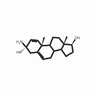 C[C@]12C=C[C@]([NH])(N)CC1=CCC1C2CC[C@@]2(C)C1CC[C@@H]2O